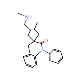 CCCC1(CCCNC)Cc2ccccc2N(c2ccccc2)C1=O